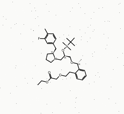 CCOC(=O)COCCc1ccccc1[C@@H](C)OC[C@@H](CN1CCC[C@H]1Cc1ccc(C)c(F)c1)O[Si](C)(C)C(C)(C)C